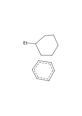 CCC1CCCCC1.c1ccccc1